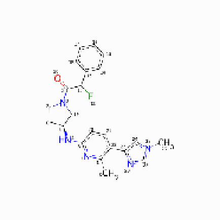 Cc1nc(N[C@H]2CCN(C(=O)C(F)c3ccccc3)C2)ccc1-c1cn(C)cn1